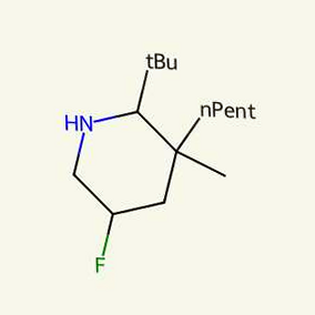 CCCCCC1(C)CC(F)CNC1C(C)(C)C